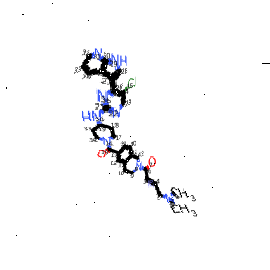 CN(C)C/C=C/C(=O)N1CCc2cc(C(=O)N3CCC(Nc4ncc(Cl)c(-c5c[nH]c6ncccc56)n4)CC3)ccc2C1